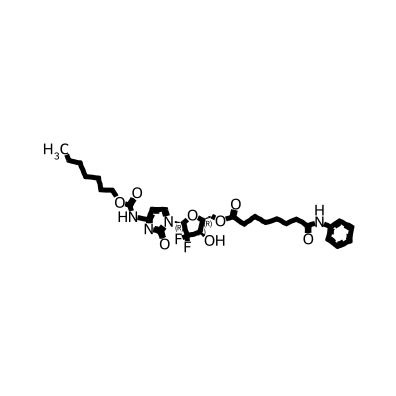 CCCCCCCOC(=O)Nc1ccn([C@@H]2O[C@H](COC(=O)CCCCCCC(=O)Nc3ccccc3)[C@@H](O)C2(F)F)c(=O)n1